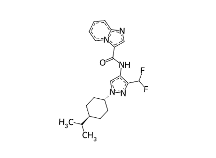 CC(C)[C@H]1CC[C@H](n2cc(NC(=O)c3cnc4ccccn34)c(C(F)F)n2)CC1